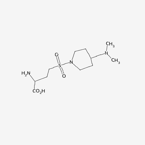 CN(C)C1CCN(S(=O)(=O)CCC(N)C(=O)O)CC1